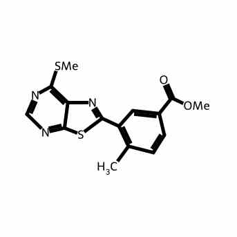 COC(=O)c1ccc(C)c(-c2nc3c(SC)ncnc3s2)c1